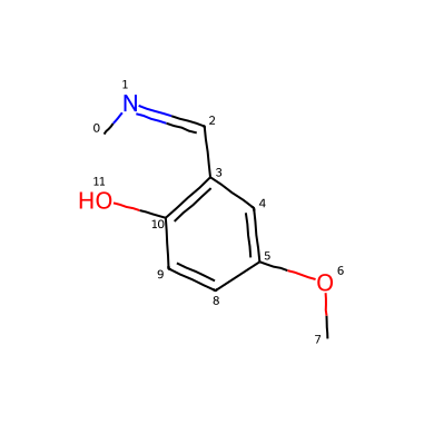 C/N=C\c1cc(OC)ccc1O